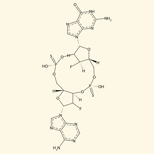 Nc1nc2c(ncn2[C@@H]2O[C@@H]3CO[P@@](O)(=S)O[C@H]4C(F)[C@H](n5cnc6c(N)ncnc65)O[C@@H]4CO[P@@](O)(=S)O[C@@H]2[C@@H]3F)c(=O)[nH]1